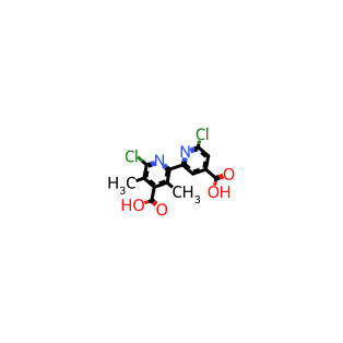 Cc1c(Cl)nc(-c2cc(C(=O)O)cc(Cl)n2)c(C)c1C(=O)O